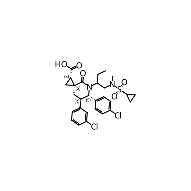 CCC(CN(C)S(=O)(=O)C1CC1)N1C(=O)[C@@]2(C[C@H](c3cccc(Cl)c3)[C@H]1c1ccc(Cl)cc1)C[C@@H]2C(=O)O